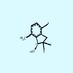 Cc1ccc(F)c2c1[C@H](O)C(F)(F)C2